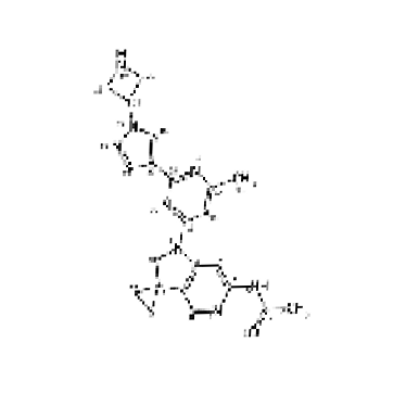 CC(=O)Nc1cc2c(cn1)C1(CC1)CN2c1cc(C)nc(-c2cnn(C3CNC3)c2)n1